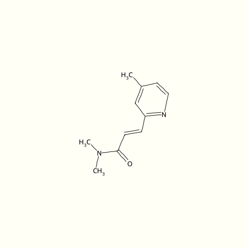 Cc1ccnc(C=CC(=O)N(C)C)c1